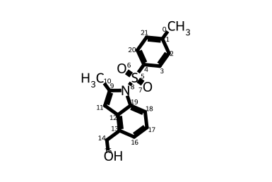 Cc1ccc(S(=O)(=O)n2c(C)cc3c(CO)cccc32)cc1